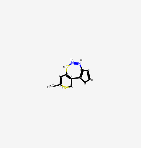 CCCC1=CC2=C(CS1)C1=C(C=CC1)N=NS2